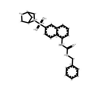 O=C(Nc1cccc2cc(S(=O)(=O)N3CC4CC3CS4)ccc12)OCc1ccccc1